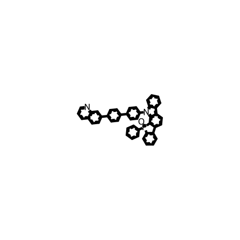 O=P1(c2ccccc2)c2ccccc2-c2ccc3c4ccccc4n(-c4ccc(-c5ccc(-c6ccc7cccnc7c6)cc5)cc4)c3c21